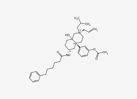 C=CC[N@@+]1(CC(C)C)CC[C@]2(c3cccc(OC(C)=O)c3)C[C@H](NC(=O)CCCCCc3ccccc3)CCC2(O)C1